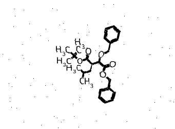 CC(C)C[C@@H](C(=O)OC(C)(C)C)C(OCc1ccccc1)C(=O)OCc1ccccc1